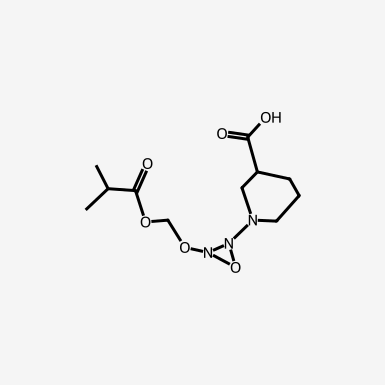 CC(C)C(=O)OCOn1on1N1CCCC(C(=O)O)C1